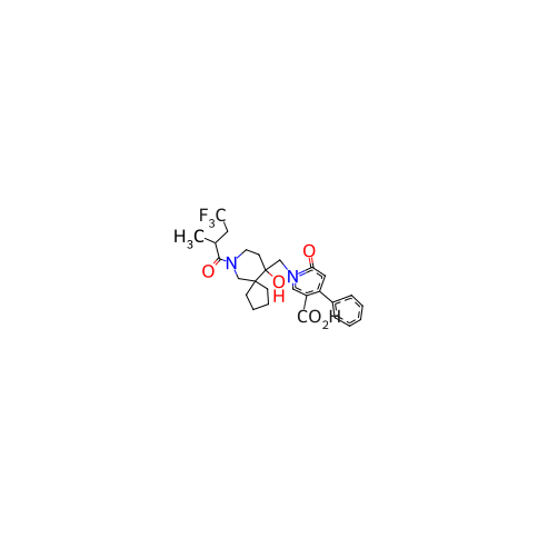 CC(CC(F)(F)F)C(=O)N1CCC(O)(Cn2cc(C(=O)O)c(-c3ccccc3)cc2=O)C2(CCCC2)C1